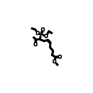 CCOP(=O)(OCC)C(C/C=C\CCCC(=O)OC)C(C)=O